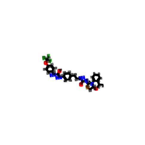 CC(C)c1ccccc1N1C(=O)CS/C1=N\C(=O)NCCc1ccc(NC(=O)Nc2ccc(OC(F)(F)F)cc2)cc1